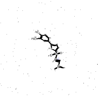 CN(C)/C=N/S(=O)(=O)c1ccc(-c2ccc(O)c(O)c2)s1